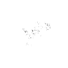 Cn1nnnc1SCC1(C(=O)O)CS[C@@H]2C(NC(=O)C(=NOCCO)c3csc(N)n3)C(=O)N2C1